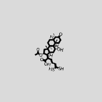 CC(=O)O[C@H]1C[C@@]2(C)[C@@H](C[C@@H](O)[C@H]3[C@@]4(C)CCC(=O)[C@@H](C)[C@@H]4CC[C@@]32C)/C1=C(\CCC=C(S)S)C(=O)O